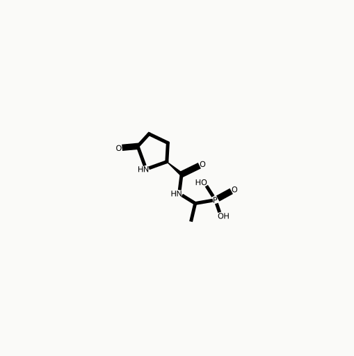 CC(NC(=O)[C@@H]1CCC(=O)N1)P(=O)(O)O